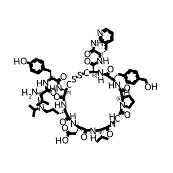 CC(C)NCCC[C@@H]1NC(=O)[C@@H](NC(=O)[C@H](Cc2ccc(O)cc2)NC(=O)[C@@H](N)C(C)C)CSSC[C@@H](C(=O)N[C@@H](Cc2cccnc2)C(N)=O)NC(=O)[C@H](Cc2ccc(CO)cc2)NC(=O)[C@@H]2CCCN2C(=O)CNC(=O)[C@H](C(C)C)NC(=O)[C@H](CC(=O)O)NC1=O